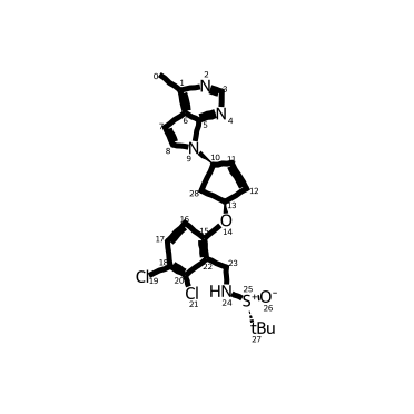 Cc1ncnc2c1ccn2[C@H]1C=C[C@@H](Oc2ccc(Cl)c(Cl)c2CN[S@+]([O-])C(C)(C)C)C1